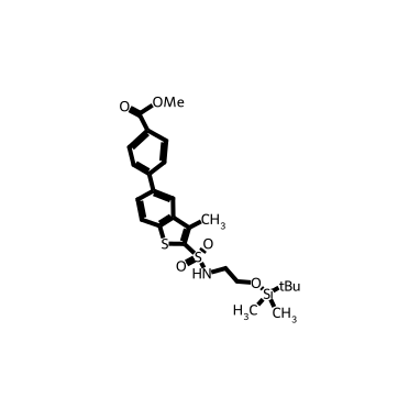 COC(=O)c1ccc(-c2ccc3sc(S(=O)(=O)NCCO[Si](C)(C)C(C)(C)C)c(C)c3c2)cc1